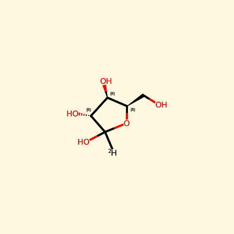 [2H]C1(O)O[C@H](CO)[C@H](O)[C@H]1O